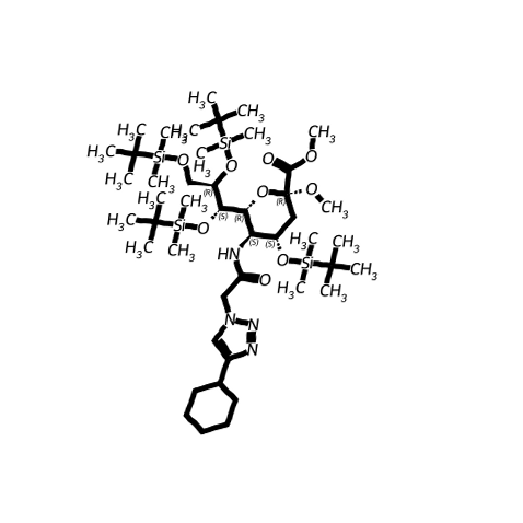 COC(=O)[C@@]1(OC)C[C@H](O[Si](C)(C)C(C)(C)C)[C@@H](NC(=O)Cn2cc(C3CCCCC3)nn2)[C@H]([C@H](O[Si](C)(C)C(C)(C)C)[C@@H](CO[Si](C)(C)C(C)(C)C)O[Si](C)(C)C(C)(C)C)O1